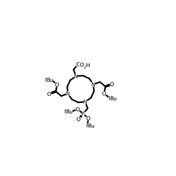 CC(C)(C)OC(=O)CN1CCN(CC(=O)O)CCN(CC(=O)OC(C)(C)C)CCN(CP(=O)(OC(C)(C)C)OC(C)(C)C)CC1